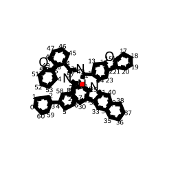 c1ccc(-c2cccc(-c3nc(-c4cc5oc6ccccc6c5cc4-n4c5ccccc5c5cc6ccccc6cc54)nc(-c4cccc5oc6ccccc6c45)n3)c2)cc1